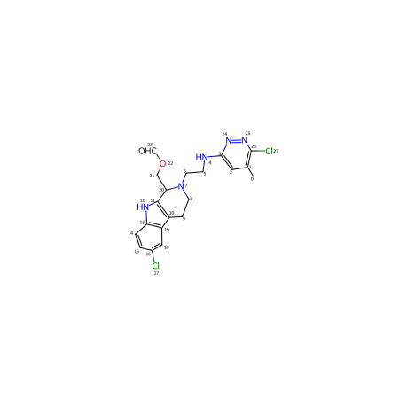 Cc1cc(NCCN2CCc3c([nH]c4ccc(Cl)cc34)C2COC=O)nnc1Cl